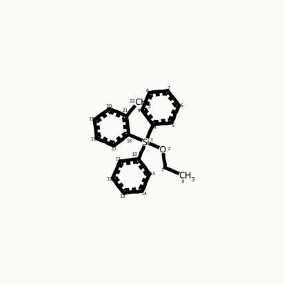 CCO[Si](c1ccccc1)(c1ccccc1)c1ccccc1C